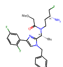 COCC(=O)N(CC[C@@H](N)CF)[C@@H](c1nc(-c2cc(F)ccc2F)cn1Cc1ccccc1)C(C)(C)C